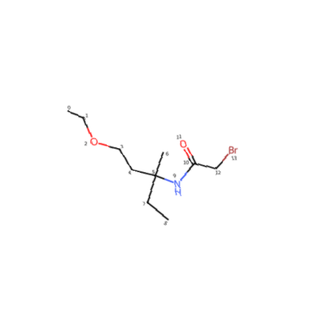 CCOCCC(C)(CC)NC(=O)CBr